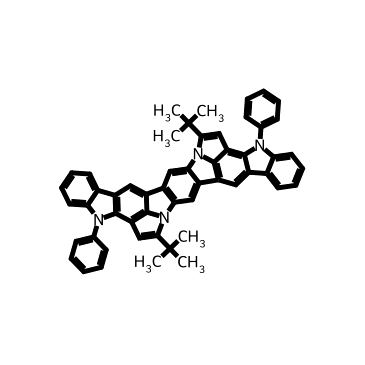 CC(C)(C)c1cc2c3c(cc4c5cc6c(cc5n1c42)c1cc2c4ccccc4n(-c4ccccc4)c2c2cc(C(C)(C)C)n6c12)c1ccccc1n3-c1ccccc1